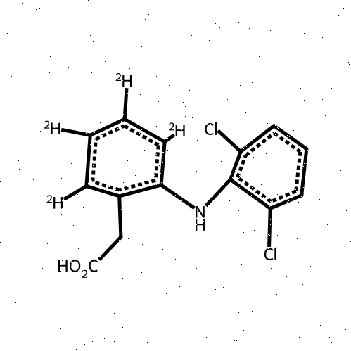 [2H]c1c([2H])c([2H])c(Nc2c(Cl)cccc2Cl)c(CC(=O)O)c1[2H]